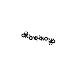 Cc1c[n+](-c2ccc(C[n+]3coc4ccccc43)cc2)ccc1-c1cc[n+](-c2ccc(C[n+]3coc4ccccc43)cc2)cc1C